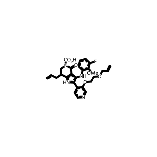 C=CCOCCOc1cnccc1-c1[nH]c2c(c1Nc1cccc(F)c1OC)C(=O)N(C(=O)O)CC2CC=C